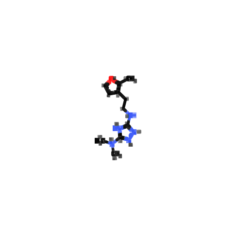 Cc1occc1CCNc1nnc(N(C)C)[nH]1